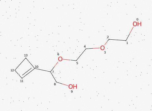 OCCOCCOC(CO)C1=CCC1